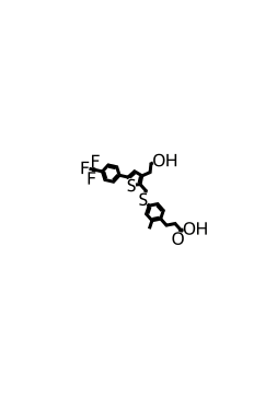 Cc1cc(SCc2sc(-c3ccc(C(F)(F)F)cc3)cc2CCO)ccc1CCC(=O)O